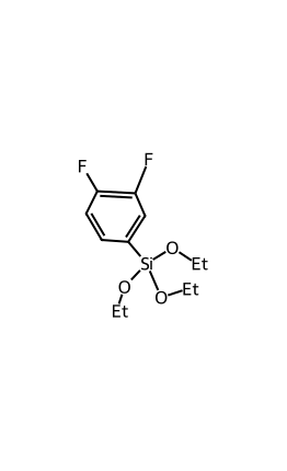 CCO[Si](OCC)(OCC)c1ccc(F)c(F)c1